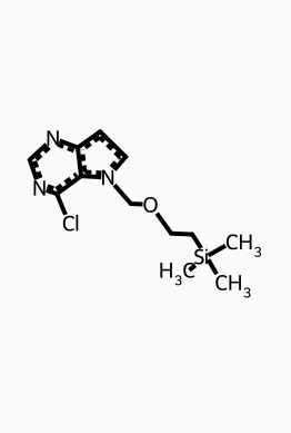 C[Si](C)(C)CCOCn1ccc2ncnc(Cl)c21